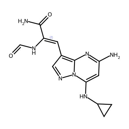 NC(=O)/C(=C/c1cnn2c(NC3CC3)cc(N)nc12)NC=O